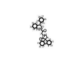 O=C(CN1CCC(c2ccccc2)(c2ccccc2)C1=O)NCC(c1ccccc1)c1ccccc1